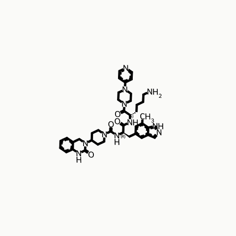 Cc1cc(C[C@@H](NC(=O)N2CCC(N3Cc4ccccc4NC3=O)CC2)C(=O)N[C@@H](CCCCN)C(=O)N2CCN(c3ccncc3)CC2)cc2cn[nH]c12